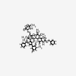 CC(=O)N[C@@H](CSCC(=O)N(CCCN(C(=O)[C@@H](NC(=O)OCc1ccccc1)C(C)C)[C@@H](C)C(N)=O)[C@@H](c1cc(-c2cc(F)ccc2F)cn1Cc1ccccc1)C(C)(C)C)C(=O)O